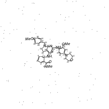 CNC(=O)c1ccccc1Nc1nc(Nc2ccc(N3CCOCC3)cc2OC)nc2c1CCN2Cc1ccc(OC)cc1